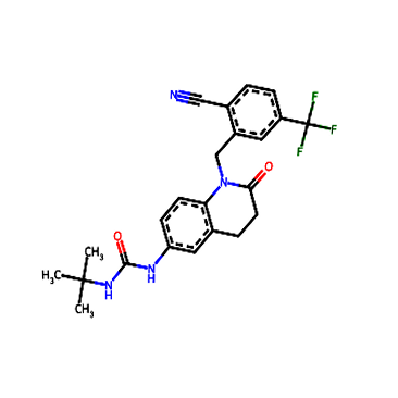 CC(C)(C)NC(=O)Nc1ccc2c(c1)CCC(=O)N2Cc1cc(C(F)(F)F)ccc1C#N